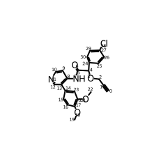 C#CCOC(C(=O)Nc1ccncc1-c1ccc(OC)c(OC)c1)c1ccc(Cl)cc1